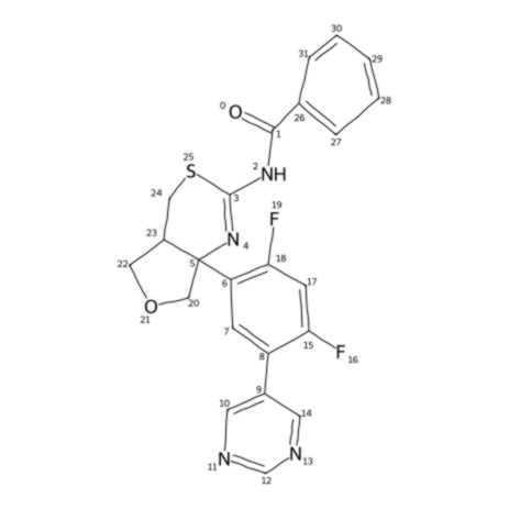 O=C(NC1=NC2(c3cc(-c4cncnc4)c(F)cc3F)COCC2CS1)c1ccccc1